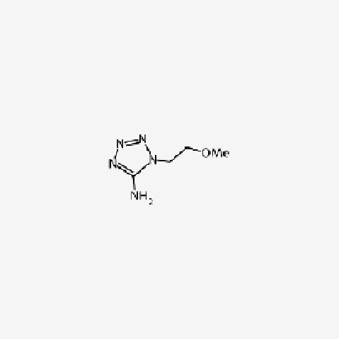 COCCn1nnnc1N